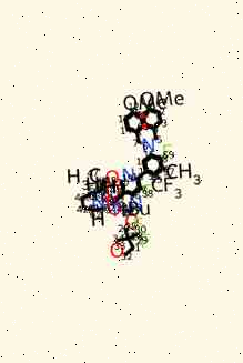 COc1ccc(CN(Cc2ccc(OC)cc2)c2cc(-c3nc4c5c(nc(OCC6(C(F)F)CCOC6)nc5c3F)N3C[C@H]5CC[C@@H]([C@H]3[C@H](C)O4)N5C(=O)OC(C)(C)C)c(C(F)(F)F)c(C)c2F)cc1